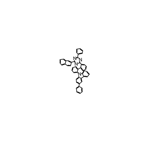 c1ccc(-c2ccc3c(c2)c2ccccc2n3-c2ccccc2-c2ccccc2-c2nc(-c3ccccc3)nc(-c3ccc4ccccc4c3)n2)cc1